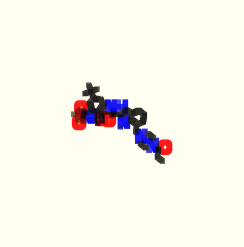 CCC(=O)N1CCN(Cc2cccc3cc(C(=O)Nc4cc(C(C)(C)C)cc(NS(C)(=O)=O)c4OC)n(C)c23)CC1